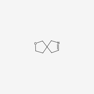 C1=NCC2(C1)CCOC2